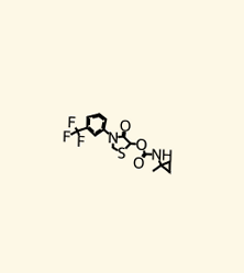 CC1(NC(=O)OC2SCN(c3cccc(C(F)(F)F)c3)C2=O)CC1